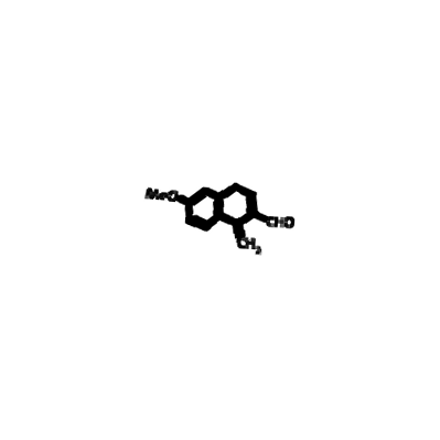 C=C1C(C=O)=CCc2cc(OC)ccc21